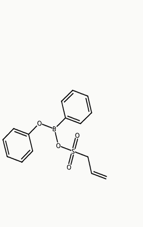 C=CCS(=O)(=O)OB(Oc1ccccc1)c1ccccc1